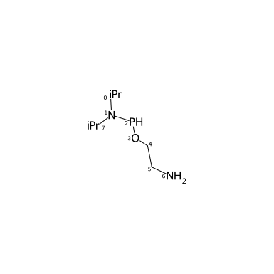 CC(C)N(POCCN)C(C)C